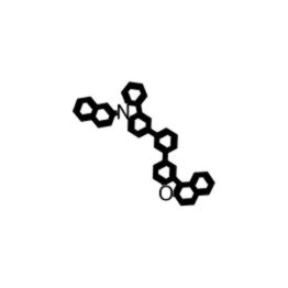 c1cc(-c2ccc3oc4ccc5ccccc5c4c3c2)cc(-c2ccc3c(c2)c2ccccc2n3-c2ccc3ccccc3c2)c1